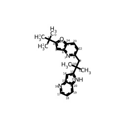 CC(C)(C)c1cc2nc(CC(C)(C)c3cc4ncccc4[nH]3)ccc2o1